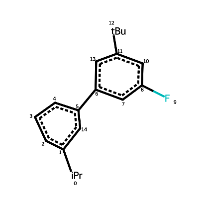 CC(C)c1cccc(-c2cc(F)cc(C(C)(C)C)c2)c1